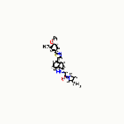 CC(C)Oc1ccc(-c2ncc(-c3cccc4c3CC[C@H]4NCC(=O)N3CC[C@@H](C)C3)s2)cc1C#N